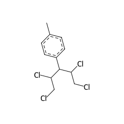 Cc1ccc(C(C(Cl)CCl)C(Cl)CCl)cc1